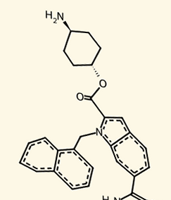 N=C(N)c1ccc2cc(C(=O)O[C@H]3CC[C@H](N)CC3)n(Cc3cccc4ccccc34)c2c1